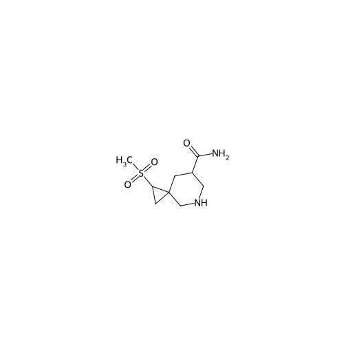 CS(=O)(=O)C1CC12CNCC(C(N)=O)C2